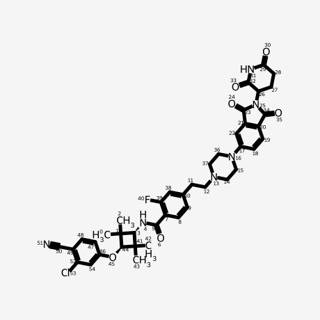 CC1(C)[C@H](NC(=O)c2ccc(CCN3CCN(c4ccc5c(c4)C(=O)N(C4CCC(=O)NC4=O)C5=O)CC3)cc2F)C(C)(C)[C@H]1Oc1ccc(C#N)c(Cl)c1